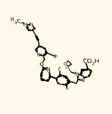 Cn1cc(C#Cc2cnc(COc3cccc(-c4cc(F)c(Cc5nc6ccc(C(=O)O)cc6n5C[C@@H]5CCO5)cc4F)n3)c(F)c2)cn1